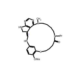 COc1ccc2cc1OCCCC(=O)N(C(C)C)CCCCN(C)c1ncnc3c1/C(=C/N2)CN3